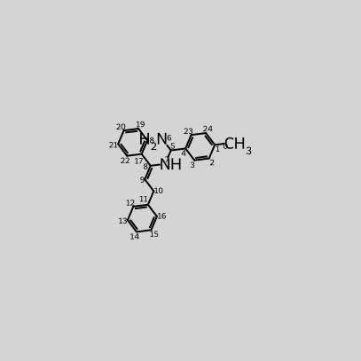 Cc1ccc(C(N)N/C(=C\Cc2ccccc2)c2ccccc2)cc1